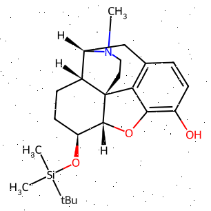 CN1CC[C@@]23c4c5ccc(O)c4O[C@@H]2[C@@H](O[Si](C)(C)C(C)(C)C)CC[C@@H]3[C@@H]1C5